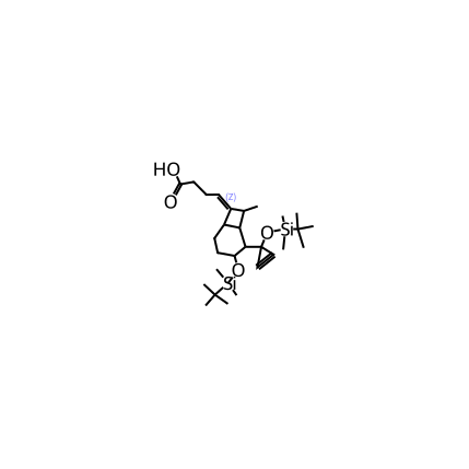 CC1/C(=C/CCC(=O)O)C2CCC(O[Si](C)(C)C(C)(C)C)C(C3(O[Si](C)(C)C(C)(C)C)C#C3)C12